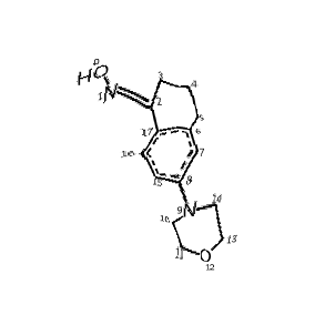 O/N=C1\CCCc2cc(N3CCOCC3)ccc21